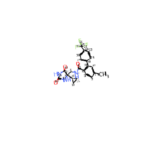 Cc1ccc(C(=O)NC[C@@]2(C3CC3)NC(=O)NC2=O)c(-c2ccc(C(F)(F)F)cc2)c1